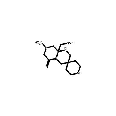 COCC12CN(C(=O)O)CC(=O)N1CC1(CCNCC1)CN2